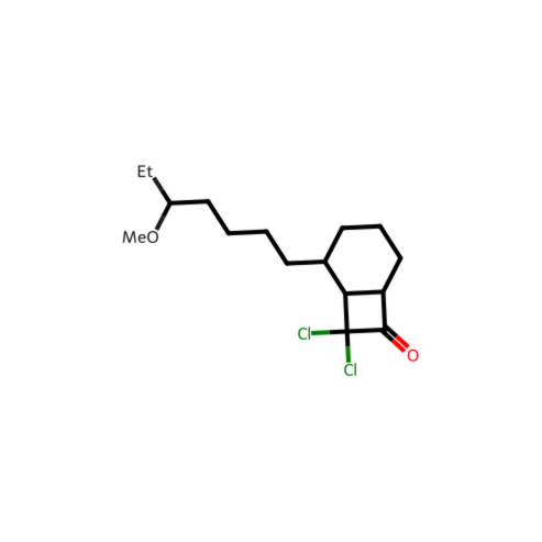 CCC(CCCCC1CCCC2C(=O)C(Cl)(Cl)C12)OC